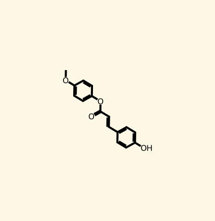 COc1ccc(OC(=O)/C=C/c2ccc(O)cc2)cc1